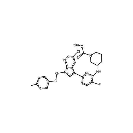 Cc1ccc(OOn2cc(-c3ncc(F)c(N[C@H]4CCCN(C(=O)OC(C)(C)C)C4)n3)c3cc(Cl)cnc32)cc1